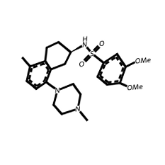 COc1ccc(S(=O)(=O)N[C@@H]2CCc3c(C)ccc(N4CCN(C)CC4)c3C2)cc1OC